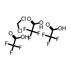 ClCCl.O=C(O)C(F)(F)F.O=C(O)C(F)(F)F.O=C(O)C(F)(F)F